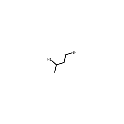 CC(S)C[CH]S